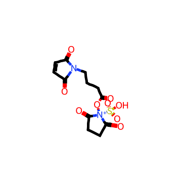 O=C(CCCN1C(=O)C=CC1=O)O[N+]1(S(=O)(=O)O)C(=O)CCC1=O